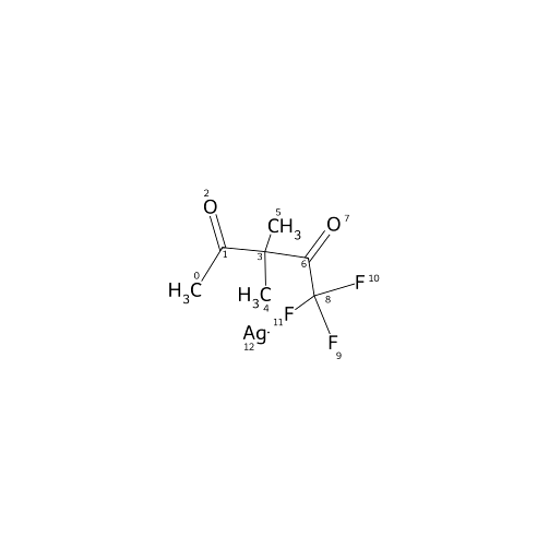 CC(=O)C(C)(C)C(=O)C(F)(F)F.[Ag]